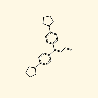 C=CC=C(c1ccc(N2CCCC2)cc1)c1ccc(N2CCCC2)cc1